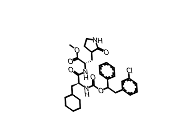 COC(=O)[C@H](CC1CCNC1=O)NC(=O)[C@H](CC1CCCCC1)NC(=O)OC(Cc1cccc(Cl)c1)c1ccccc1